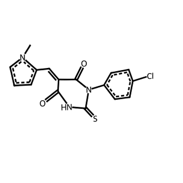 Cn1cccc1/C=C1\C(=O)NC(=S)N(c2ccc(Cl)cc2)C1=O